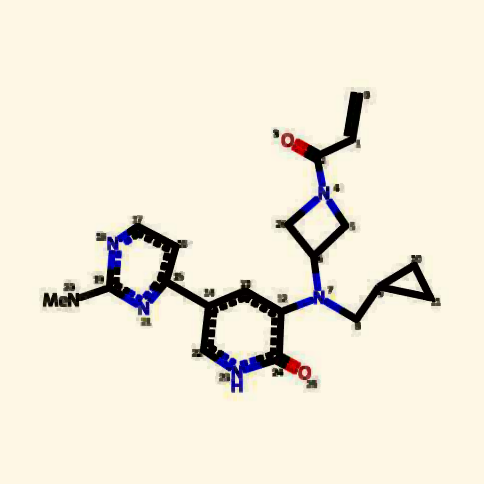 C=CC(=O)N1CC(N(CC2CC2)c2cc(-c3ccnc(NC)n3)c[nH]c2=O)C1